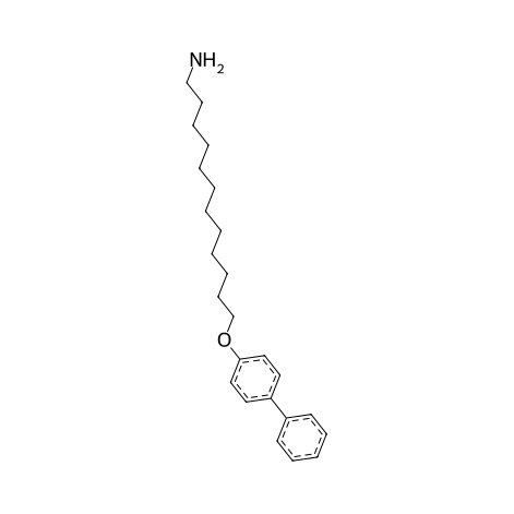 NCCCCCCCCCCCCOc1ccc(-c2ccccc2)cc1